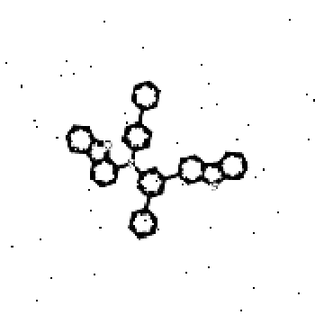 c1ccc(-c2ccc(N(c3cc(-c4ccccc4)cc(-c4ccc5c(c4)sc4ccccc45)c3)c3cccc4c3oc3ccccc34)cc2)cc1